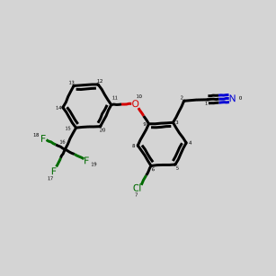 N#CCc1ccc(Cl)cc1Oc1cccc(C(F)(F)F)c1